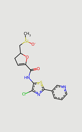 C[S+]([O-])CC1CC=C(C(=O)Nc2sc(-c3cccnc3)nc2Cl)O1